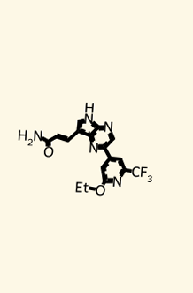 CCOc1cc(-c2cnc3[nH]cc(C=CC(N)=O)c3n2)cc(C(F)(F)F)n1